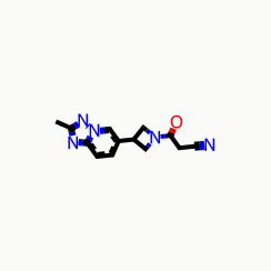 Cc1nc2ccc(C3CN(C(=O)CC#N)C3)cn2n1